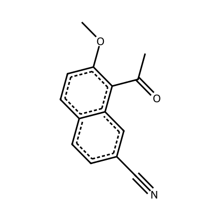 COc1ccc2ccc(C#N)cc2c1C(C)=O